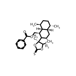 CC1OC(=S)O[C@@]1(C)C1[C@@H](COC(=O)c2ccccc2)[C@H]2[C@@H](C[C@@H]1C)[C@@H](C)CC[C@@H]2C